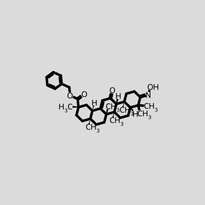 CC1(C)/C(=N/O)CC[C@]2(C)[C@H]3C(=O)C=C4[C@@H]5C[C@@](C)(C(=O)OCc6ccccc6)CC[C@]5(C)CC[C@@]4(C)[C@]3(C)CC[C@@H]12